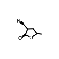 CC1CC(C#N)C(=O)O1